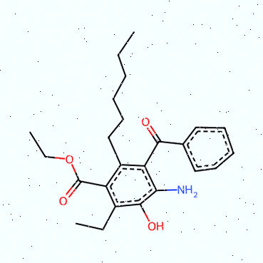 CCCCCCc1c(C(=O)c2ccccc2)c(N)c(O)c(CC)c1C(=O)OCC